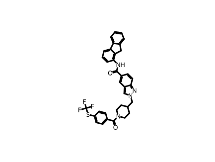 O=C(Nc1cccc2c1Cc1ccccc1-2)c1ccc2nn(CC3CCN(C(=O)c4ccc(SC(F)(F)F)cc4)CC3)cc2c1